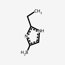 Bc1c[nH]c(CC)n1